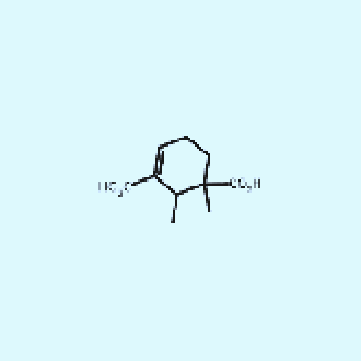 CC1C(C(=O)O)=CCCC1(C)C(=O)O